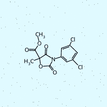 COC(=O)C1(C)OC(=O)N(c2cc(Cl)cc(Cl)c2)C1=O